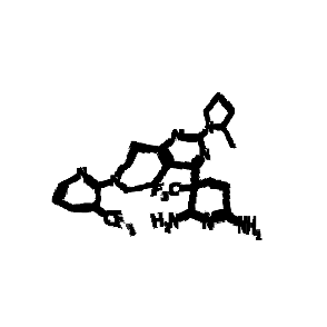 CC1CCCN1c1nc2c(c(C3(C(F)(F)F)C=CC(N)=NC3N)n1)CCN(c1ncccc1C(F)(F)F)CC2